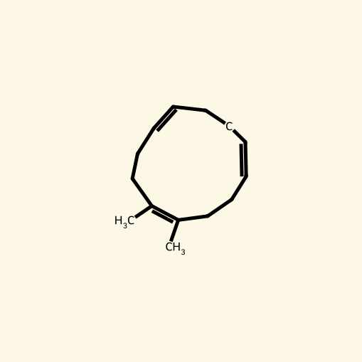 C/C1=C(\C)CC/C=C\CC/C=C\CC1